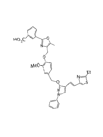 CCc1nc(C=Cc2cn(-c3ccccc3)nc2OCc2ccc(OCc3nc(-c4cccc(C(=O)O)c4)oc3C)c(OC)c2)cs1